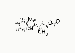 CC(CCOC=O)c1cnc2ccccc2n1